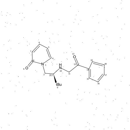 CC(C)(C)[C@@H](Cn1ccccc1=O)NCC(=O)c1ccccc1